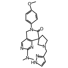 COc1ccc(N2Cc3cnc(N(C)C)nc3C3(CCN(Cc4cc[nH]n4)C3)C2=O)cc1